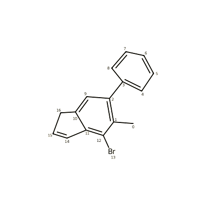 Cc1c(-c2ccccc2)cc2c(c1Br)C=CC2